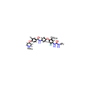 CCCCN1CCC(Oc2ccc(C(=O)Nc3ccc(Oc4cc(F)c(NC(=O)NC(C)C)cc4OC)cc3)cc2C)CC1